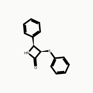 O=C1N[C@@H](c2ccccc2)[C@H]1Sc1ccccc1